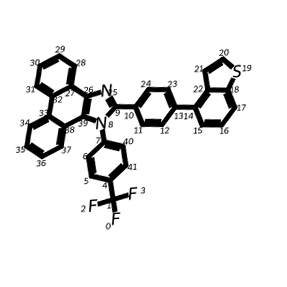 FC(F)(F)c1ccc(-n2c(-c3ccc(-c4cccc5sccc45)cc3)nc3c4ccccc4c4ccccc4c32)cc1